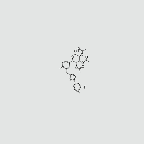 CC(=O)O[C@H]1[C@H](OC(C)=O)[C@@H](OC(C)=O)C(c2ccc(C)c(Cc3ccc(-c4ccc(F)c(F)c4)s3)c2)O[C@@H]1O